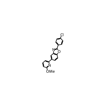 COc1cccc(-c2ccc3oc(-c4ccc(Cl)cc4)nc3c2)n1